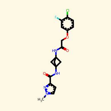 Cn1ccc(C(=O)NC23CC(NC(=O)COc4ccc(Cl)c(F)c4)(C2)C3)n1